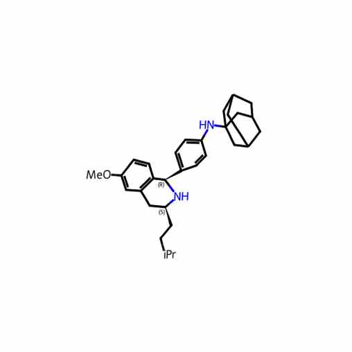 COc1ccc2c(c1)C[C@H](CCC(C)C)N[C@@H]2c1ccc(NC23CC4CC(CC(C4)C2)C3)cc1